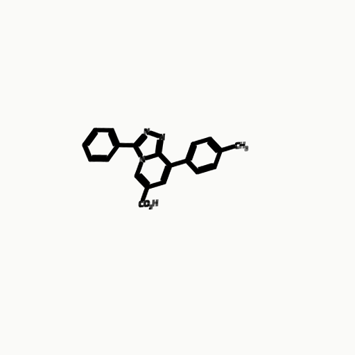 Cc1ccc(-c2cc(C(=O)O)cn3c(-c4ccccc4)nnc23)cc1